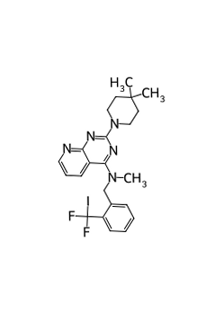 CN(Cc1ccccc1C(F)(F)I)c1nc(N2CCC(C)(C)CC2)nc2ncccc12